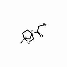 C[C@]12CC[C@](C(=O)CBr)(CO1)C2